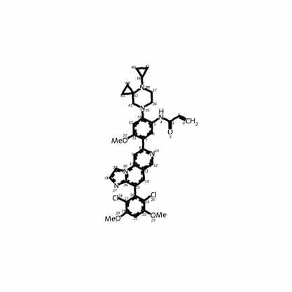 C=CC(=O)Nc1cc(-c2cc3c(cn2)cc(-c2c(Cl)c(OC)cc(OC)c2Cl)c2nccn23)c(OC)cc1N1CCN(C2CC2)C2(CC2)C1